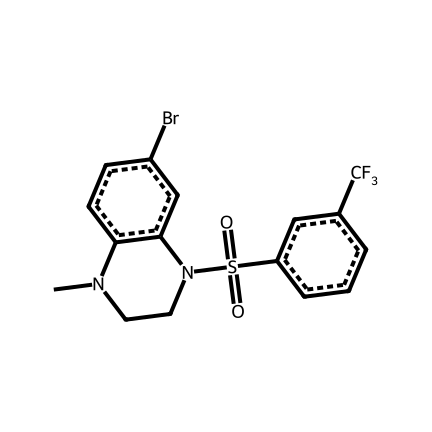 CN1CCN(S(=O)(=O)c2cccc(C(F)(F)F)c2)c2cc(Br)ccc21